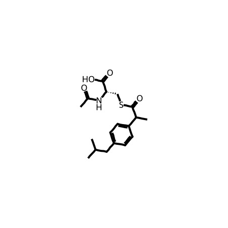 CC(=O)N[C@@H](CSC(=O)C(C)c1ccc(CC(C)C)cc1)C(=O)O